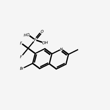 Cc1ccc2cc(Br)c(C(F)(F)P(=O)(O)O)cc2n1